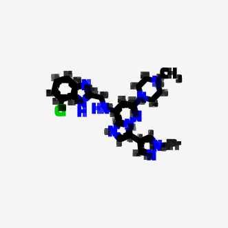 CC(C)n1cc(-c2cnc3c(NCc4nc5cccc(Cl)c5[nH]4)cc(N4CCN(C)CC4)nn23)cn1